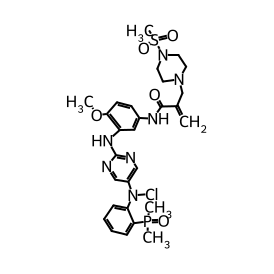 C=C(CN1CCN(S(C)(=O)=O)CC1)C(=O)Nc1ccc(OC)c(Nc2ncc(N(Cl)c3ccccc3P(C)(C)=O)cn2)c1